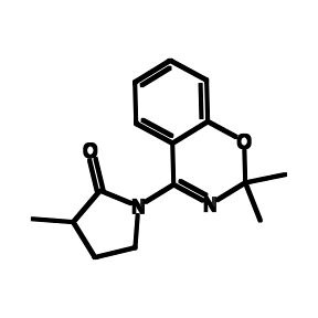 CC1CCN(C2=NC(C)(C)Oc3ccccc32)C1=O